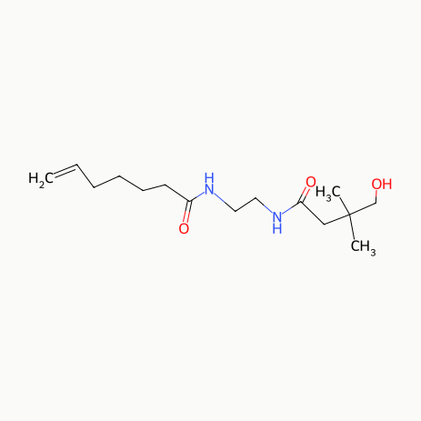 C=CCCCCC(=O)NCCNC(=O)CC(C)(C)CO